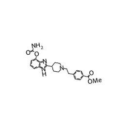 COC(=O)c1ccc(CCN2CCC(c3nc4c(OC(N)=O)cccc4[nH]3)CC2)cc1